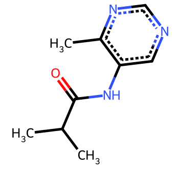 Cc1ncncc1NC(=O)C(C)C